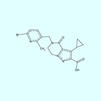 Cc1nc(Br)ccc1CN1CCn2nc(C(=O)O)c(C3CC3)c2C1=O